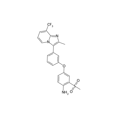 Cc1nc2c(C(F)(F)F)cccn2c1-c1cccc(Oc2ccc(N)c(S(C)(=O)=O)c2)c1